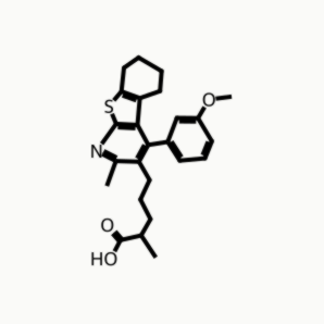 COc1cccc(-c2c(CCCC(C)C(=O)O)c(C)nc3sc4c(c23)CCCC4)c1